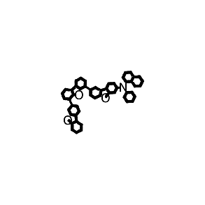 c1ccc(N(c2ccc3c(c2)oc2ccc(-c4cccc5c4oc4c(-c6ccc7c(c6)oc6ccccc67)cccc45)cc23)c2cccc3ccccc23)cc1